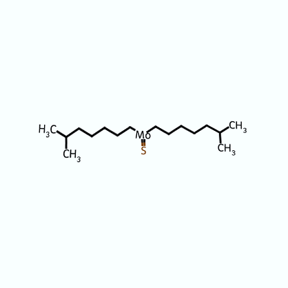 CC(C)CCCC[CH2][Mo](=[S])[CH2]CCCCC(C)C